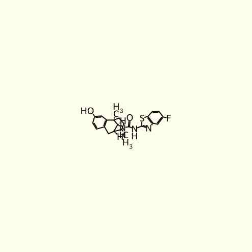 CC1CC[C@]2(C)c3cc(O)ccc3C[C@@H]1[C@@H]2NC(=O)Nc1nc2cc(F)ccc2s1